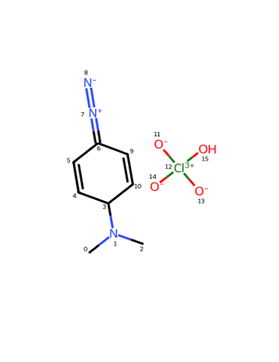 CN(C)C1C=CC(=[N+]=[N-])C=C1.[O-][Cl+3]([O-])([O-])O